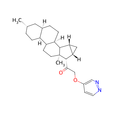 C[C@H]1CC[C@@H]2C3CC[C@@]4(C)C([C@@H]3CC[C@@H]2C1)[C@@H]1C[C@@H]1[C@@H]4C(=O)COc1ccnnc1